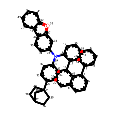 c1ccc(-c2cccc3cccc(-c4ccccc4N(c4ccc(C56CCC(CC5)C6)cc4)c4ccc5c(c4)oc4ccccc45)c23)cc1